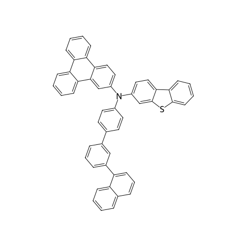 c1cc(-c2ccc(N(c3ccc4c(c3)sc3ccccc34)c3ccc4c5ccccc5c5ccccc5c4c3)cc2)cc(-c2cccc3ccccc23)c1